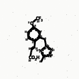 Cc1nnn(Cc2cc(OC(F)(F)F)ccc2C=CC(=O)O)n1